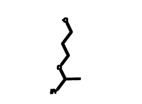 CC(C)C(C)OCCC[O]